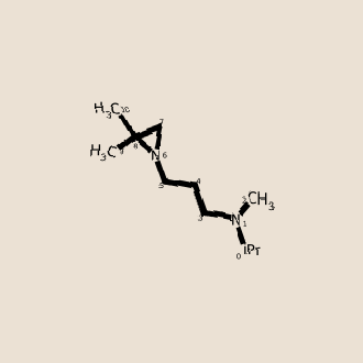 CC(C)N(C)CCCN1CC1(C)C